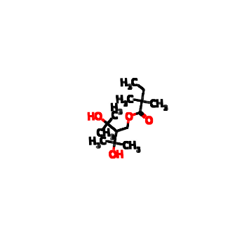 CCC(C)(C)C(=O)OCC(C(C)(C)O)C(C)(C)O